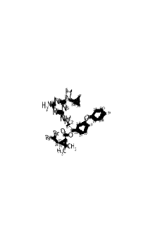 CC1(C)[C@H](C(=O)O[C@H](C#N)c2cccc(Oc3ccccc3)c2)[C@@H]1C=C(Br)Br.Nc1nc(N)nc(NC2CC2)n1